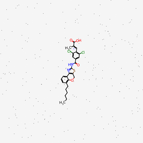 CCCCCCc1cccc2c1OCc1sc(NC(=O)c3cc(Cl)c(/C=C(\C)C(=O)O)c(Cl)c3)nc1-2